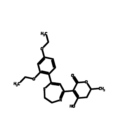 CCOc1ccc(C2=CC(C3=C(O)CC(C)OC3=O)=NCCS2)c(OCC)c1